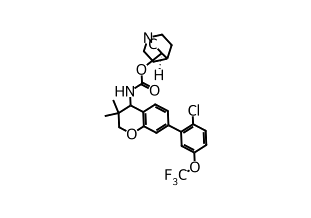 CC1(C)COc2cc(-c3cc(OC(F)(F)F)ccc3Cl)ccc2C1NC(=O)O[C@H]1CN2CCC1CC2